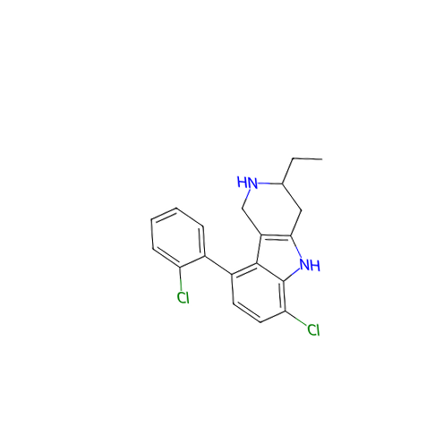 CCC1Cc2[nH]c3c(Cl)ccc(-c4ccccc4Cl)c3c2CN1